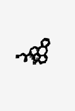 O=C(CBr)N1CCN2C3=C4C(=CC=C[C@@H]4C[C@H]31)Cc1ccccc12